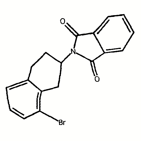 O=C1c2ccccc2C(=O)N1C1CCc2cccc(Br)c2C1